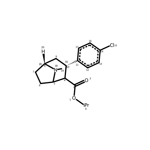 CC(C)OC(=O)C1C2CC[C@H](C[C@@H]1c1ccc(Cl)cc1)N2C